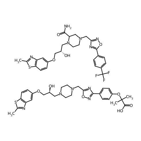 Cc1nc2cc(OC[C@@H](O)CN3CCN(Cc4nc(-c5ccc(OC(C)(C)C(=O)O)cc5)no4)CC3)ccc2s1.Cc1nc2cc(OC[C@@H](O)CN3CCN(Cc4noc(-c5ccc(C(F)(F)F)cc5)n4)CC3C(N)=O)ccc2s1